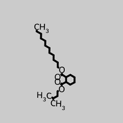 CCCCCCCCCCCCOC(=O)C1CCCCC1C(=O)OCCC(C)C